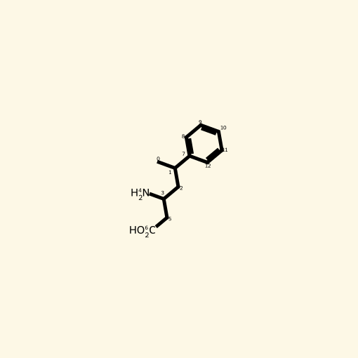 CC(CC(N)CC(=O)O)c1ccccc1